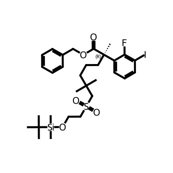 CC(C)(CCC[C@@](C)(C(=O)OCc1ccccc1)c1cccc(I)c1F)CS(=O)(=O)CCO[Si](C)(C)C(C)(C)C